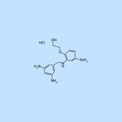 Cl.Nc1cc(N)cc(CNc2cc([AsH2])ccc2OCCO)c1